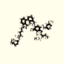 N#Cc1cncc(COc2cc(OCc3cccc(-c4cccc5c4cnn5CCCCNC[C@@H]4CCC(=O)N4)c3Br)c(Cl)cc2CNC(CO)C(=O)O)c1